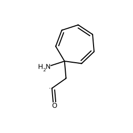 NC1(C[C]=O)C=CC=CC=C1